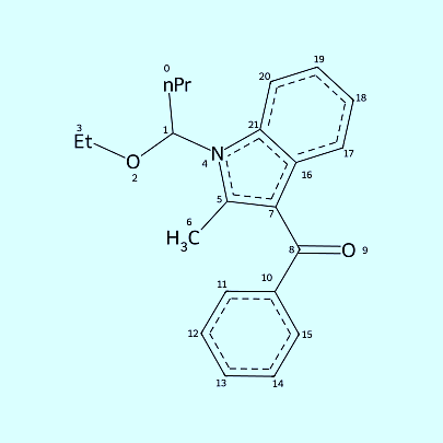 CCCC(OCC)n1c(C)c(C(=O)c2ccccc2)c2ccccc21